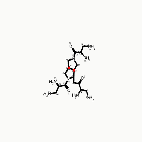 NCC(N)C(=O)CC1CC23CN(C(=O)C(N)CN)CC12CN(C(=O)C(N)CN)C3